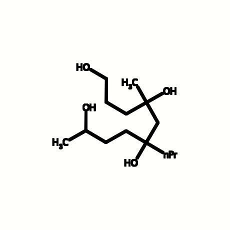 CCCC(O)(CCC(C)O)CC(C)(O)CCCO